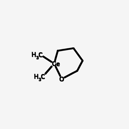 [CH3][Ge]1([CH3])[CH2]CCC[O]1